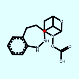 O=C(O)ON1CCC2OC1C2C1CCc2ccccc2NN1